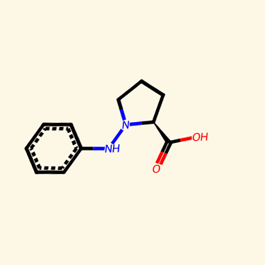 O=C(O)[C@@H]1CCCN1Nc1ccccc1